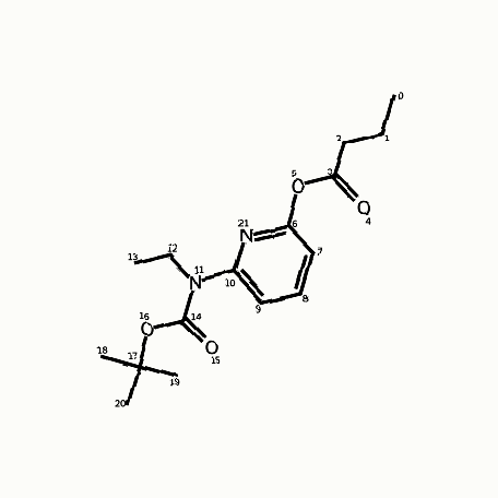 CCCC(=O)Oc1cccc(N(CC)C(=O)OC(C)(C)C)n1